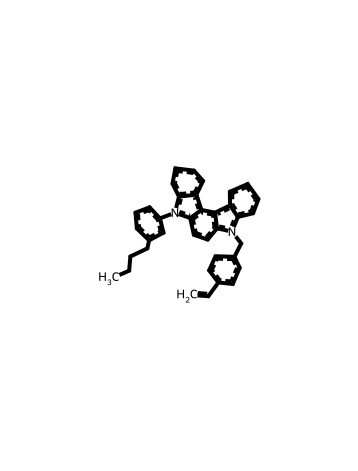 C=Cc1ccc(Cn2c3ccccc3c3c4c5ccccc5n(-c5cccc(CCCC)c5)c4ccc32)cc1